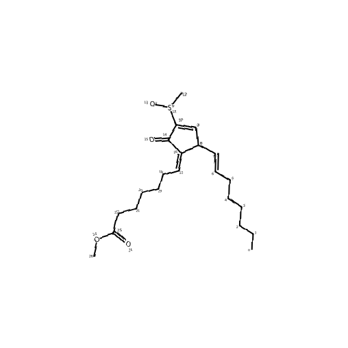 CCCCCCC=CC1C=C([S+](C)[O-])C(=O)C1=CCCCCCC(=O)OC